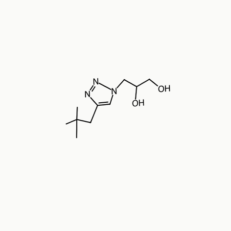 CC(C)(C)Cc1cn(CC(O)CO)nn1